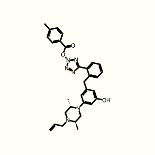 C=CCN1C[C@H](C)N(c2cc(O)cc(Cc3ccccc3-c3nnn(OC(=O)c4ccc(C)cc4)n3)c2)C[C@H]1C